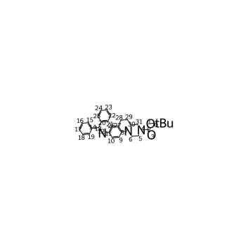 CC(C)(C)OC(=O)N1CCN2c3ccc(N=C(c4ccccc4)c4ccccc4)cc3CCC2C1